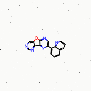 c1cnc2c(-c3cnc4oc5cncnc5c4n3)cccc2c1